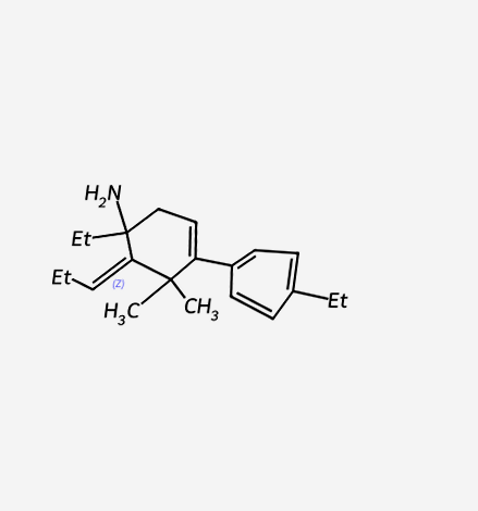 CC/C=C1\C(N)(CC)CC=C(c2ccc(CC)cc2)C1(C)C